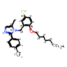 Cc1cnc(-c2ccc(C(F)(F)F)cc2)n1Cc1cc(F)ccc1OCCCCCC(=O)O